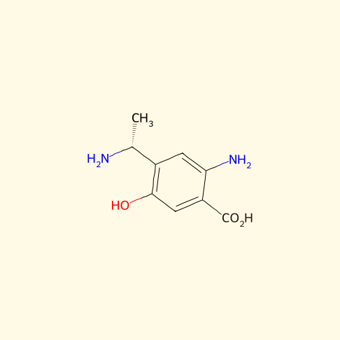 C[C@@H](N)c1cc(N)c(C(=O)O)cc1O